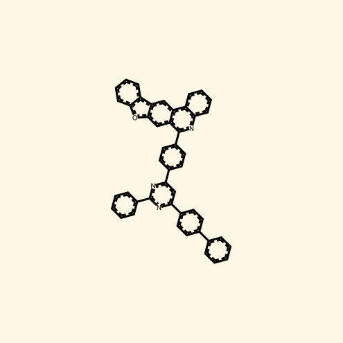 c1ccc(-c2ccc(-c3cc(-c4ccc(-c5nc6ccccc6c6cc7c(cc56)oc5ccccc57)cc4)nc(-c4ccccc4)n3)cc2)cc1